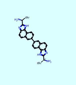 CC(C)(C)C(N)c1nc2ccc3cc(-c4ccc5c(ccc6nc([C@@H](N)C(C)(C)C)[nH]c65)c4)ccc3c2[nH]1